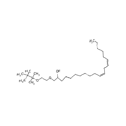 CCCCC/C=C\C/C=C\CCCCCCCCC(O)COCCO[Si](C)(C)C(C)(C)C